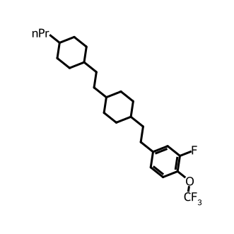 CCCC1CCC(CCC2CCC(CCc3ccc(OC(F)(F)F)c(F)c3)CC2)CC1